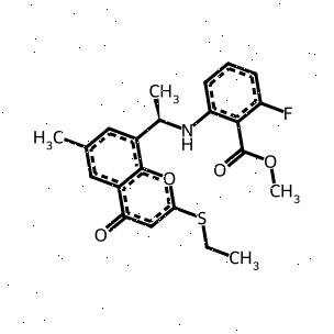 CCSc1cc(=O)c2cc(C)cc([C@@H](C)Nc3cccc(F)c3C(=O)OC)c2o1